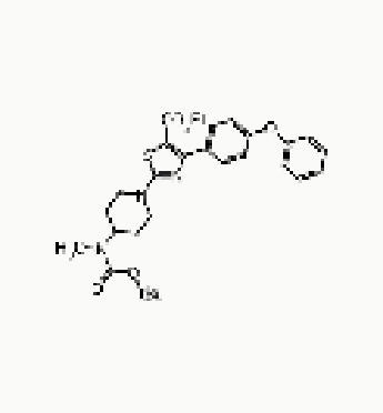 CCOC(=O)c1sc(N2CCC(N(C)C(=O)OC(C)(C)C)CC2)nc1-c1ccc(Oc2ccccc2)cc1